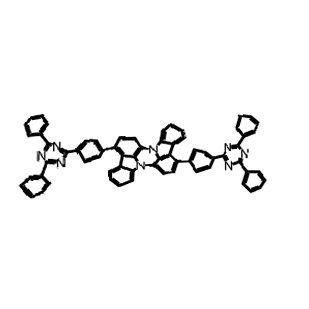 c1ccc(-c2nc(-c3ccccc3)nc(-c3ccc(-c4ccc5c6c4c4ccccc4n6c4ccc(-c6ccc(-c7nc(-c8ccccc8)nc(-c8ccccc8)n7)cc6)c6c7ccccc7n5c64)cc3)n2)cc1